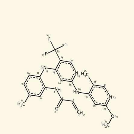 C=CC(=O)Nc1cc(C)ccc1Nc1nc(Nc2cc(OC)ncc2C)ncc1C(F)(F)F